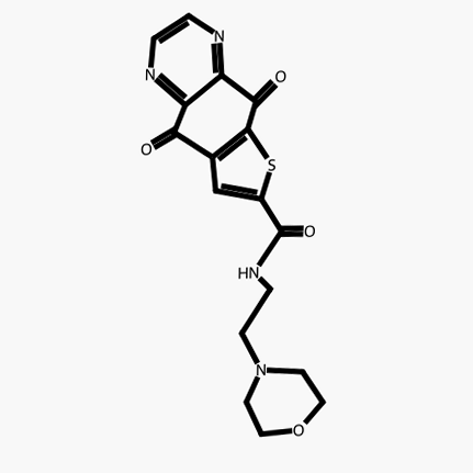 O=C(NCCN1CCOCC1)c1cc2c(s1)C(=O)c1nccnc1C2=O